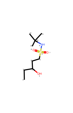 CCC(O)CCS(=O)(=O)NC(C)(C)C